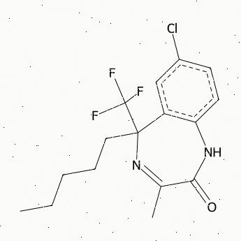 CCCCCC1(C(F)(F)F)N=C(C)C(=O)Nc2ccc(Cl)cc21